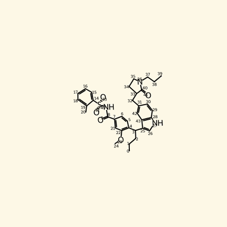 CCCC(c1ccc(C(=O)NS(=O)(=O)c2ccccc2C)cc1OC)c1c[nH]c2ccc(CC3CCN(CCC)C3=O)cc12